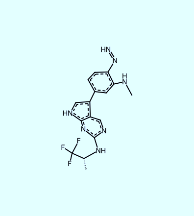 CNc1cc(-c2c[nH]c3nc(N[C@H](C)C(F)(F)F)ncc23)ccc1N=N